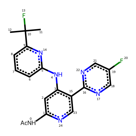 CC(=O)Nc1cc(Nc2cccc(C(C)(C)F)n2)c(-c2ncc(F)cn2)cn1